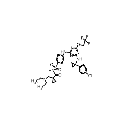 CCN(CC)CC1(C(=O)NS(=O)(=O)c2ccc(Nc3nc(NC4(c5ccc(Cl)cc5)CC4)nc(OCC(F)(F)F)n3)cc2)CC1